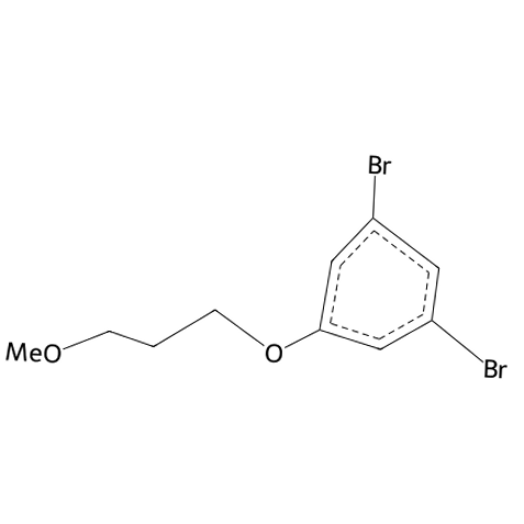 COCCCOc1cc(Br)cc(Br)c1